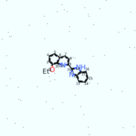 CCOc1cccc2ccc(-c3nc4ccccc4[nH]3)nc12